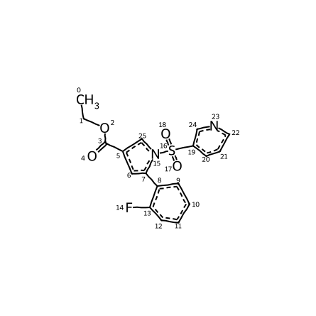 CCOC(=O)c1cc(-c2ccccc2F)n(S(=O)(=O)c2cccnc2)c1